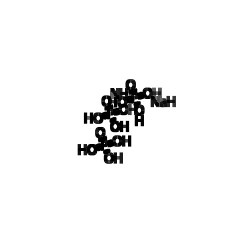 N.O=P(O)(O)O.O=P(O)(O)O.O=P(O)(O)O.[NaH]